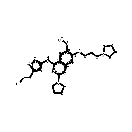 COCc1cc(Nc2nc(N3CCCC3)nc3cc(OCCCN4CCCC4)c(OC)cc23)n[nH]1